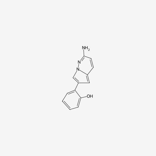 Nc1ccc2cc(-c3ccccc3O)cn2n1